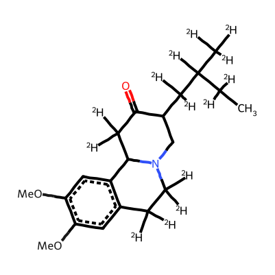 [2H]C1([2H])C(=O)C(C([2H])([2H])C([2H])(C([2H])([2H])[2H])C([2H])([2H])C)CN2C1c1cc(OC)c(OC)cc1C([2H])([2H])C2([2H])[2H]